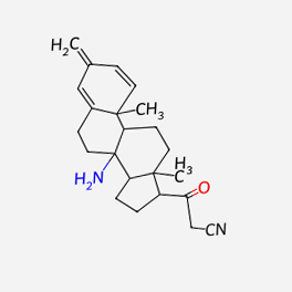 C=C1C=CC2(C)C(=C1)CCC1(N)C2CCC2(C)C(C(=O)CC#N)CCC21